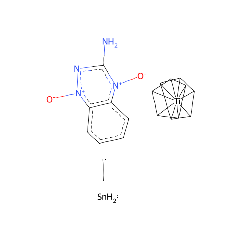 Nc1n[n+]([O-])c2ccccc2[n+]1[O-].[CH2]C.[CH]12[CH]3[CH]4[CH]5[CH]1[Ti]23451678[CH]2[CH]1[CH]6[CH]7[CH]28.[SnH2]